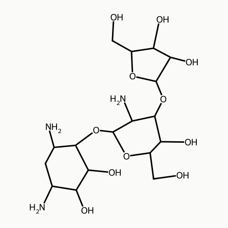 NC1CC(N)C(OC2OC(CO)C(O)C(OC3OC(CO)C(O)C3O)C2N)C(O)C1O